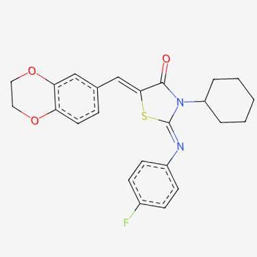 O=C1/C(=C/c2ccc3c(c2)OCCO3)S/C(=N\c2ccc(F)cc2)N1C1CCCCC1